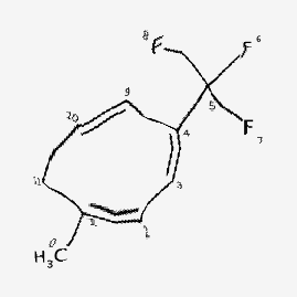 CC1=CC=C(C(F)(F)F)C=CC1